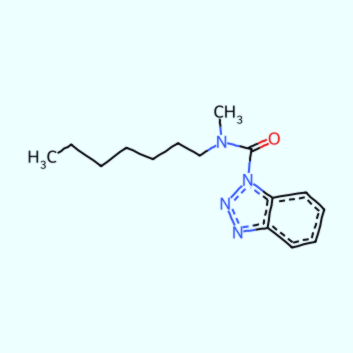 CCCCCCCN(C)C(=O)n1nnc2ccccc21